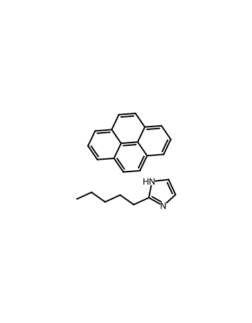 CCCCCc1ncc[nH]1.c1cc2ccc3cccc4ccc(c1)c2c34